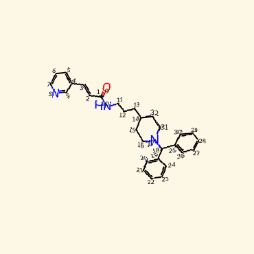 O=C(C=Cc1cccnc1)NCCCC1CCN(C(c2ccccc2)c2ccccc2)CC1